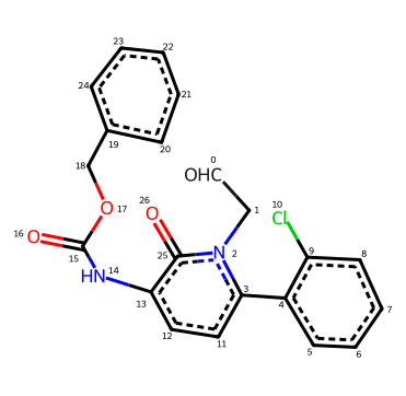 O=CCn1c(-c2ccccc2Cl)ccc(NC(=O)OCc2ccccc2)c1=O